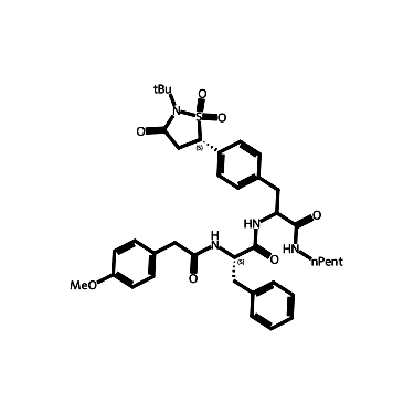 CCCCCNC(=O)C(Cc1ccc([C@@H]2CC(=O)N(C(C)(C)C)S2(=O)=O)cc1)NC(=O)[C@H](Cc1ccccc1)NC(=O)Cc1ccc(OC)cc1